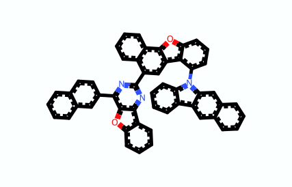 c1ccc2cc(-c3nc(-c4cc5c(oc6cccc(-n7c8ccccc8c8cc9ccccc9cc87)c65)c5ccccc45)nc4c3oc3ccccc34)ccc2c1